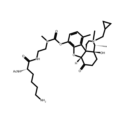 CC(=O)N[C@@H](CCCCN)C(=O)NCCN(C)C(=O)Oc1ccc(C)c2c1O[C@H]1C(=O)CC[C@@]3(O)[C@@H](C)[N+](C)(CC4CC4)CC[C@]213